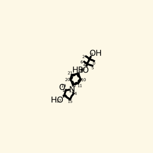 CC(C)(O)C(C)(C)OBc1ccc(N2CCC(O)C2=O)cc1